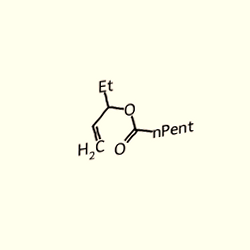 C=CC(CC)OC(=O)CCCCC